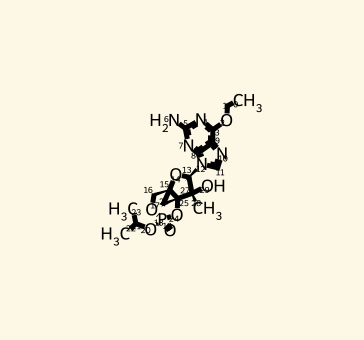 CCOc1nc(N)nc2c1ncn2[C@@H]1O[C@]23CO[P@](=O)(OC(C)C)O[C@@]2(C3)[C@@]1(C)O